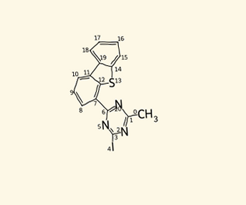 Cc1nc(I)nc(-c2cccc3c2sc2ccccc23)n1